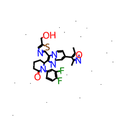 Cc1noc(C)c1-c1ccn2c(-c3ncc(CO)s3)c(C3CCCC(=O)N3c3ccc(F)c(F)c3)nc2c1